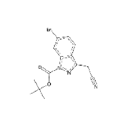 CC(C)(C)OC(=O)n1nc(CC#N)c2ccc(Br)cc21